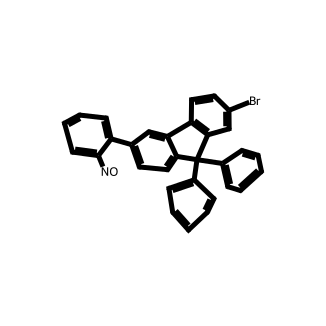 O=Nc1ccccc1-c1ccc2c(c1)-c1ccc(Br)cc1C2(c1ccccc1)c1ccccc1